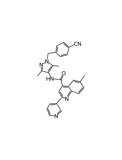 Cc1ccc2nc(-c3cccnc3)cc(C(=O)Nc3c(C)nn(Cc4ccc(C#N)cc4)c3C)c2c1